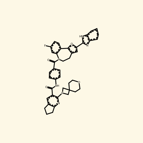 O=C(Nc1ccc(C(=O)N2CCc3cc(-c4nc5ccccc5[nH]4)oc3-c3ccc(F)cc32)cc1)c1cc2c(nc1N1CC3(CCOCC3)C1)CCC2